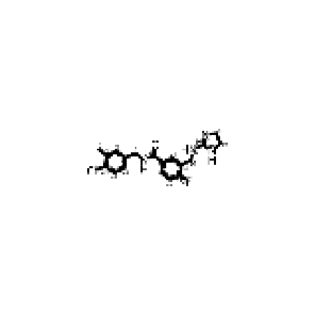 Cc1cc(CNC(=O)c2ccc(F)c(CNC3=NCCN3)c2)ccc1Cl